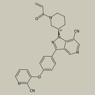 C=CC(=O)N1CCC[C@@H](n2nc(-c3ccc(Oc4cccnc4C#N)cc3)c3cncc(C#N)c32)C1